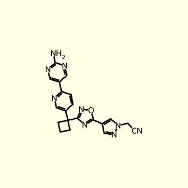 N#CCn1cc(-c2nc(C3(c4ccc(-c5cnc(N)nc5)nc4)CCC3)no2)cn1